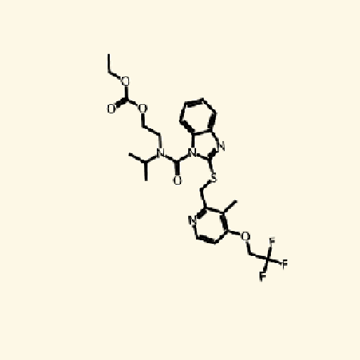 CCOC(=O)OCCN(C(=O)n1c(SCc2nccc(OCC(F)(F)F)c2C)nc2ccccc21)C(C)C